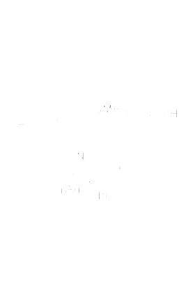 CCCCC1(CCCC)CSc2cc(OCC(=O)O)c(SC)cc2N(c2ccc(O)cc2)C1